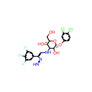 N=N/C(=C\NC1C(O)[C@@H](Oc2ccc(Cl)c(Cl)c2)OC(CO)[C@@H]1O)c1cc(F)c(F)c(F)c1